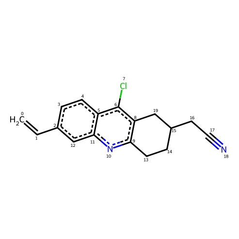 C=Cc1ccc2c(Cl)c3c(nc2c1)CCC(CC#N)C3